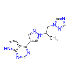 CC(Cn1cncn1)n1cc(-c2ncnc3[nH]ccc23)cn1